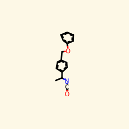 CC(N=C=O)c1ccc(COc2ccccc2)cc1